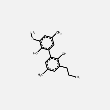 CCCc1cc(C)cc(-c2cc(C)cc(OC)c2O)c1O